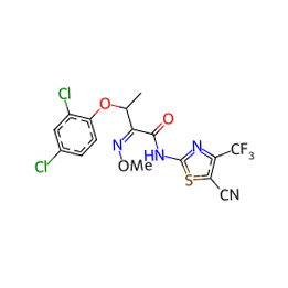 CON=C(C(=O)Nc1nc(C(F)(F)F)c(C#N)s1)C(C)Oc1ccc(Cl)cc1Cl